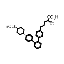 CCCCCCCC[C@H]1CC[C@H](c2ccc(-c3ccccc3-c3ccc(CCCC(CC)C(=O)O)cc3)cc2)CC1